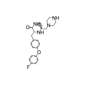 NC(=O)C(Cc1ccc(Oc2ccc(F)cc2)cc1)NC(=O)CN1CCNCC1